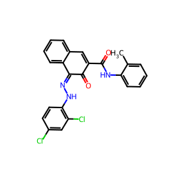 Cc1ccccc1NC(=O)C1=Cc2ccccc2/C(=N/Nc2ccc(Cl)cc2Cl)C1=O